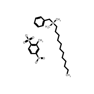 CCCCCCCCCCCC[N+](C)(C)Cc1ccccc1.Cc1cc([N+](=O)[O-])ccc1S(=O)(=O)[O-]